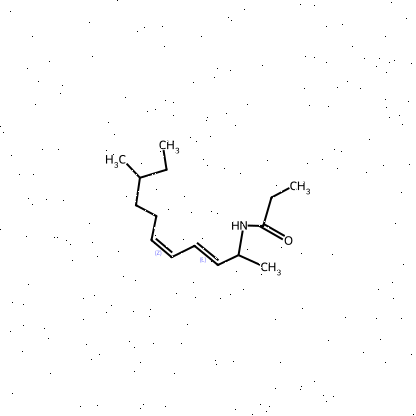 CCC(=O)NC(C)/C=C/C=C\CCC(C)CC